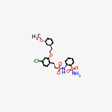 COc1cccc(CCOc2cc(Cl)ccc2CCS(=O)(=O)Nc2ccccc2S(N)(=O)=O)c1